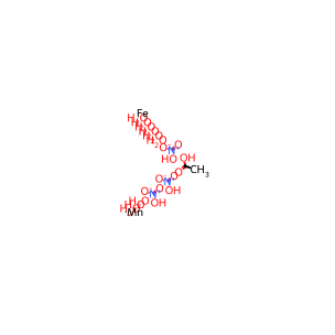 CC(=O)O.O.O.O.O.O.O.O.O.O.O=[N+]([O-])O.O=[N+]([O-])O.O=[N+]([O-])O.[Fe].[Mn]